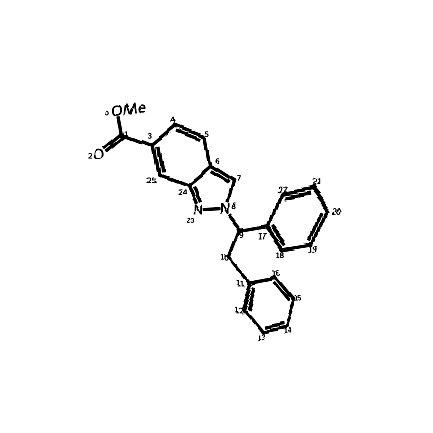 COC(=O)c1ccc2cn(C(Cc3ccccc3)c3ccccc3)nc2c1